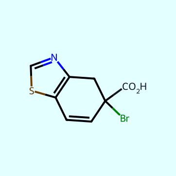 O=C(O)C1(Br)C=Cc2scnc2C1